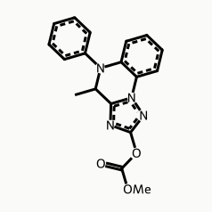 COC(=O)Oc1nc2n(n1)-c1ccccc1N(c1ccccc1)C2C